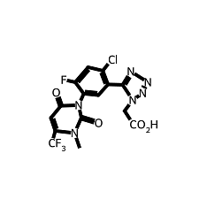 Cn1c(C(F)(F)F)cc(=O)n(-c2cc(-c3nnnn3CC(=O)O)c(Cl)cc2F)c1=O